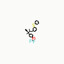 C#CC(C)(c1ccc(OC(F)F)cc1)C(C)Cc1cccc(Sc2ccccc2)c1